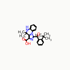 CC(C)(C)c1ccccc1C(=O)c1nc(C(=O)O)c2n1-c1ccccc1NC2(C)C